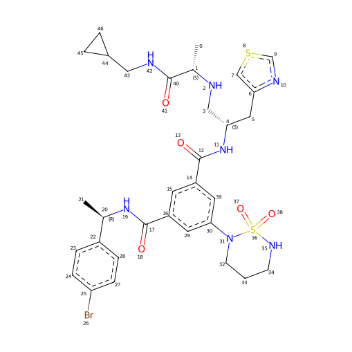 C[C@H](NC[C@H](Cc1cscn1)NC(=O)c1cc(C(=O)N[C@H](C)c2ccc(Br)cc2)cc(N2CCCNS2(=O)=O)c1)C(=O)NCC1CC1